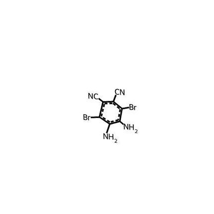 N#Cc1c(Br)c(N)c(N)c(Br)c1C#N